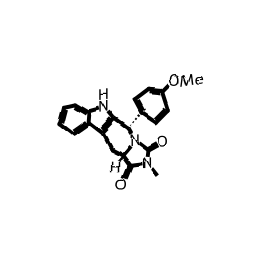 COc1ccc([C@H]2c3[nH]c4ccccc4c3C[C@H]3C(=O)N(C)C(=O)N23)cc1